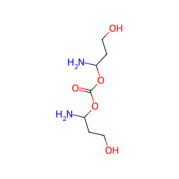 NC(CCO)OC(=O)OC(N)CCO